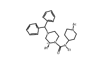 CCN(C(=O)N1CCN(C(c2ccccc2)c2ccccc2)C[C@@H]1C(C)C)C1CCN(C(C)=O)CC1